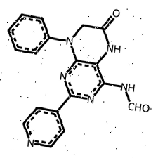 O=[C]Nc1nc(-c2ccncc2)nc2c1NC(=O)CN2c1ccccc1